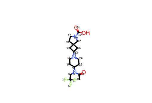 CC(=O)N(CC(F)(F)F)C1CCN(C2CC3(CCN(C(=O)O)C3)C2)CC1